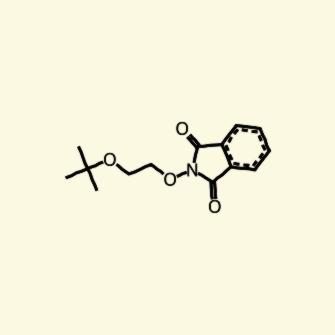 CC(C)(C)OCCON1C(=O)c2ccccc2C1=O